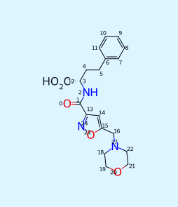 O=C(N[C@@H](CCc1ccccc1)C(=O)O)c1cc(CN2CCOCC2)on1